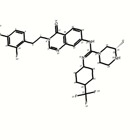 COc1ccc(CCn2cnc3cc(NC(=NC4CCC(C(F)(F)F)CC4)N4CCN[C@@H](C)C4)ccc3c2=O)c(F)c1